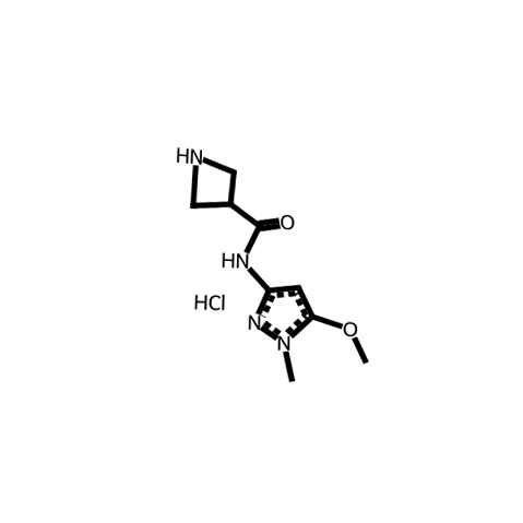 COc1cc(NC(=O)C2CNC2)nn1C.Cl